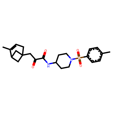 CC1=CCC2(CC(=O)C(=O)NC3CCN(S(=O)(=O)c4ccc(C)cc4)CC3)CC1C2